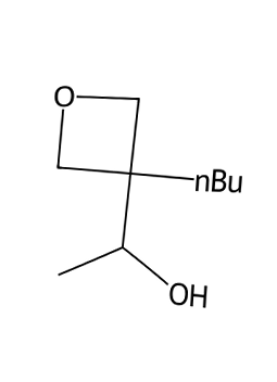 CCCCC1(C(C)O)COC1